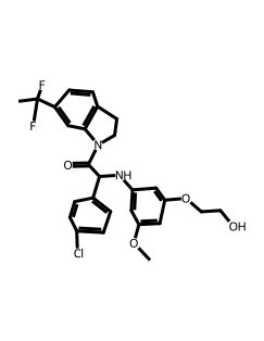 COc1cc(NC(C(=O)N2CCc3ccc(C(C)(F)F)cc32)c2ccc(Cl)cc2)cc(OCCO)c1